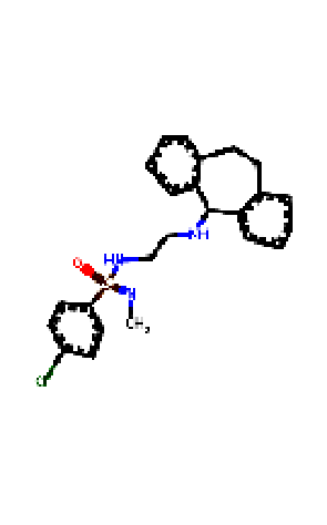 CN=S(=O)(NCCNC1c2ccccc2CCc2ccccc21)c1ccc(Cl)cc1